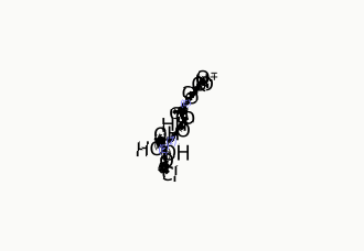 COc1cc(/C=C/COC(=O)CCCO[N+](=O)[O-])ccc1OC(=O)C(C)NC(=O)CCC/C=C\C[C@@H]1[C@@H](/C=C/[C@@H](O)COc2cccc(Cl)c2)[C@H](O)C[C@@H]1O